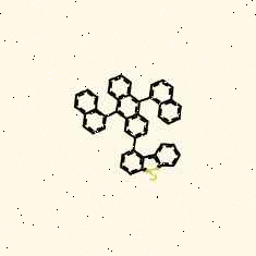 c1ccc2c(-c3c4ccccc4c(-c4cccc5ccccc45)c4cc(-c5cccc6sc7ccccc7c56)ccc34)cccc2c1